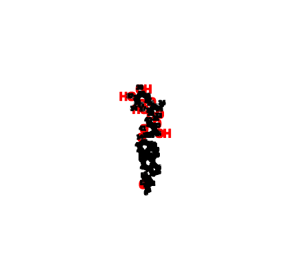 C=C1C=C([C@H]2CCC3C4CC[C@@H]5C[C@@H](O[C@H]6C[C@H](O)[C@H](O[C@@H]7O[C@H](C)[C@H](O[C@H]8C[C@H](O)[C@H](O)[C@@H](C)O8)[C@@H](O)O7)[C@@H](C)O6)CC[C@]5(C)[C@H]4CC[C@@]32C)CO1